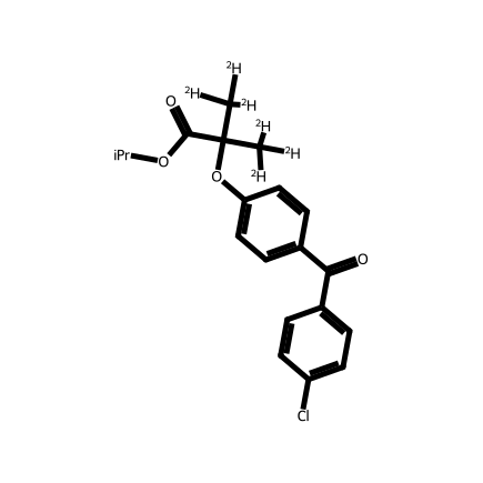 [2H]C([2H])([2H])C(Oc1ccc(C(=O)c2ccc(Cl)cc2)cc1)(C(=O)OC(C)C)C([2H])([2H])[2H]